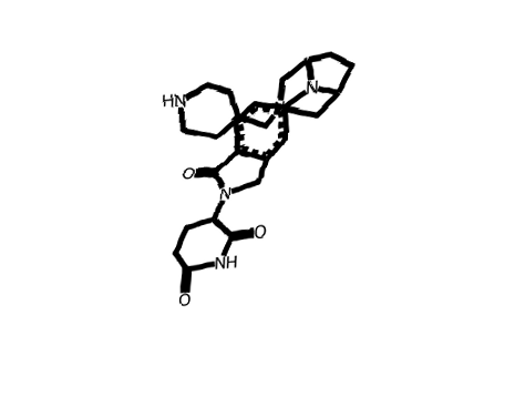 O=C1CCC(N2Cc3cc(N4C5CCC4CN(CC4CCNCC4)C5)ccc3C2=O)C(=O)N1